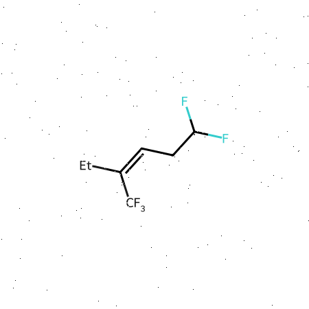 CCC(=CC[C](F)F)C(F)(F)F